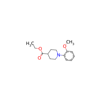 CCOC(=O)C1CCN(c2ccccc2OC)CC1